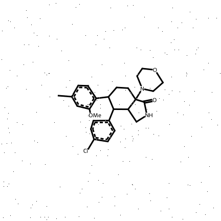 COc1cc(C)ccc1C1CCC2(N3CCOCC3)C(=O)NCC2C1c1ccc(Cl)cc1